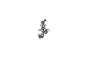 CCOc1cc(C(=O)Nc2cc(C3CC3)ccn2)c(F)cc1-c1nc([C@@H]2CC[C@H]3CC(C)(C)C(=O)N3C2)n2ccnc(N)c12